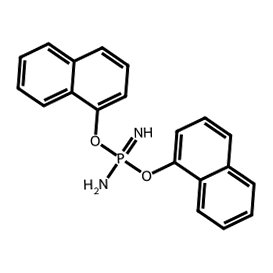 N=P(N)(Oc1cccc2ccccc12)Oc1cccc2ccccc12